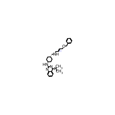 CN(C)c1nc(N[C@H]2CC[C@@H](CNC/C=C/COCc3ccccc3)CC2)nc2ccccc12